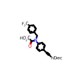 CCCCCCCCCCC#Cc1ccc(N(Cc2ccc(C(F)(F)F)cc2)C(=O)C(=O)O)cc1